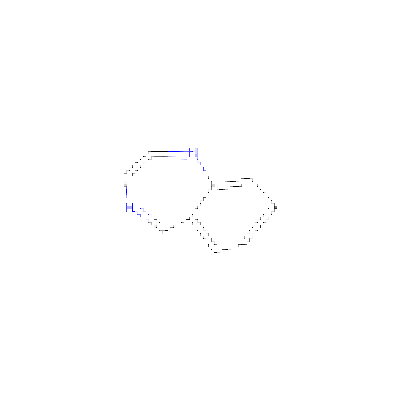 C1=CN=Cc2ccccc2N=1